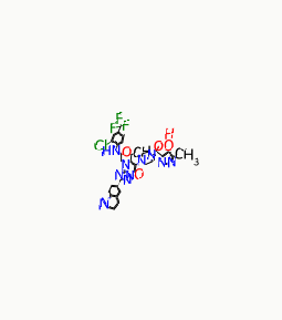 CCc1c(N2CCN(C(=O)c3ncnc(C)c3O)CC2)c(=O)n2nc(-c3ccc4ncccc4c3)nc2n1CC(=O)Nc1ccc(C(F)(F)F)cc1Cl